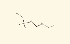 CCOCCC(C)(F)CC